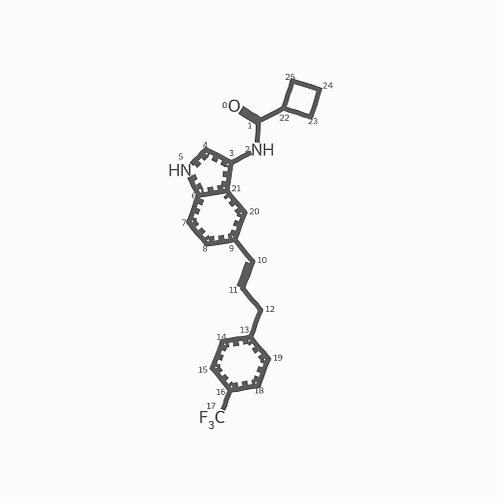 O=C(Nc1c[nH]c2ccc(C=CCc3ccc(C(F)(F)F)cc3)cc12)C1CCC1